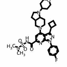 CN(C)S(=O)(=O)NC(=O)c1cc(N2CCC3C(CCN3C3CCOCC3)C2)c2c(C3CCC3)nn(-c3ccc(F)cc3)c2n1